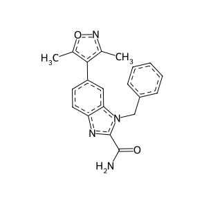 Cc1noc(C)c1-c1ccc2nc(C(N)=O)n(Cc3ccccc3)c2c1